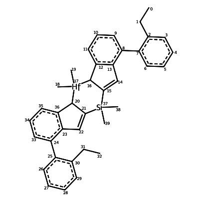 CCc1ccccc1-c1cccc2c1C=C1[CH]2[Hf]([CH3])([CH3])[CH]2C(=Cc3c(-c4ccccc4CC)cccc32)[Si]1(C)C